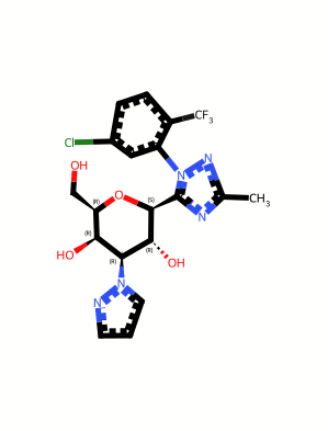 Cc1nc([C@@H]2O[C@H](CO)[C@H](O)[C@H](n3cccn3)[C@H]2O)n(-c2cc(Cl)ccc2C(F)(F)F)n1